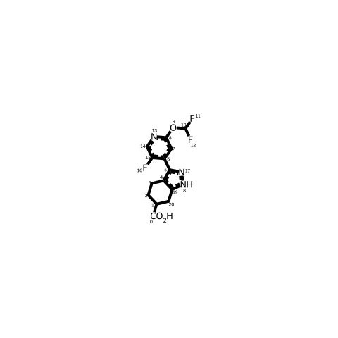 O=C(O)C1CCc2c(-c3cc(OC(F)F)ncc3F)n[nH]c2C1